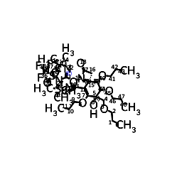 CCCOC[C@]1(O)C(OCCC)=C(C#N)[C@]2(CC(=O)N2O/C(=N/[Si](C)(C)C)N([Si](C)(C)C)S(=O)(=O)C(F)(F)F)[C@H](OCCC)[C@@H]1OCCC